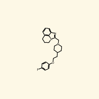 Fc1ccc(OCCC2CCN(Cc3nc4cccc5c4n3CCC5)CC2)cc1